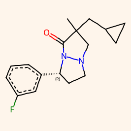 CC1(CC2CC2)CN2CC[C@H](c3cccc(F)c3)N2C1=O